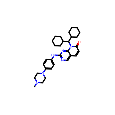 CN1CCN(c2ccc(Nc3ncc4ccc(=O)n(C(C5CCCCC5)C5CCCCC5)c4n3)cc2)CC1